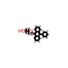 CC(C)(O)C(C)(C)OBc1c2ccccc2c(-c2ccccc2)c2ccccc12